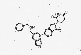 C[C@H](NCc1cc(-c2ccc3c(c2)CN(C2CCC(=O)NC2=O)C3=O)n2cncc2c1)c1ccccc1